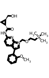 COc1ccccc1-c1cn(COCC[Si](C)(C)C)c2nc(NC(=O)[C@@H]3C[C@H]3CO)ccc12